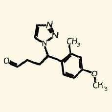 COc1ccc(C(CCC=O)n2ccnn2)c(C)c1